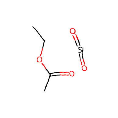 CCOC(C)=O.O=[Si]=O